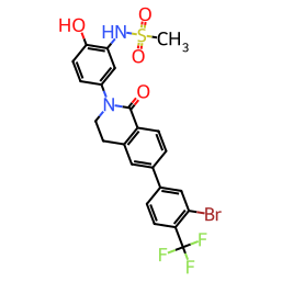 CS(=O)(=O)Nc1cc(N2CCc3cc(-c4ccc(C(F)(F)F)c(Br)c4)ccc3C2=O)ccc1O